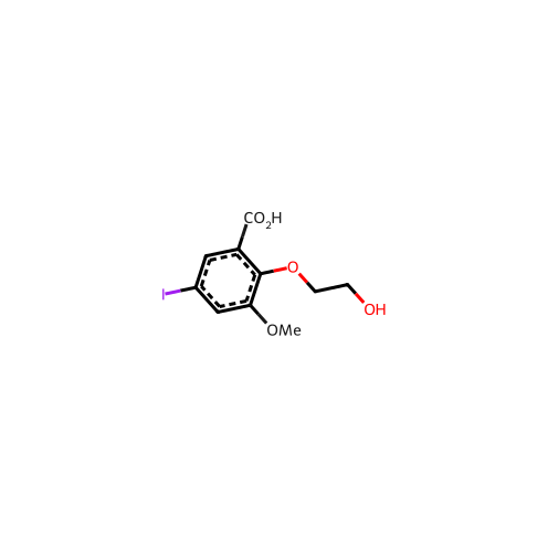 COc1cc(I)cc(C(=O)O)c1OCCO